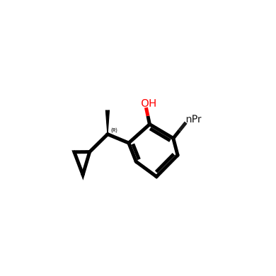 CCCc1cccc([C@H](C)C2CC2)c1O